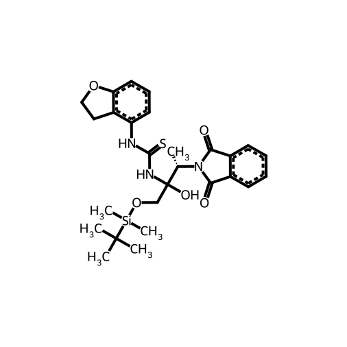 C[C@H](N1C(=O)c2ccccc2C1=O)C(O)(CO[Si](C)(C)C(C)(C)C)NC(=S)Nc1cccc2c1CCO2